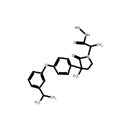 CC(C)c1cccc(Oc2ccc(C3(C)CCN(C(C)C(=O)NO)C3=O)cc2)c1